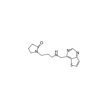 O=C1CCCN1CCCNCc1ncnc2ccsc12